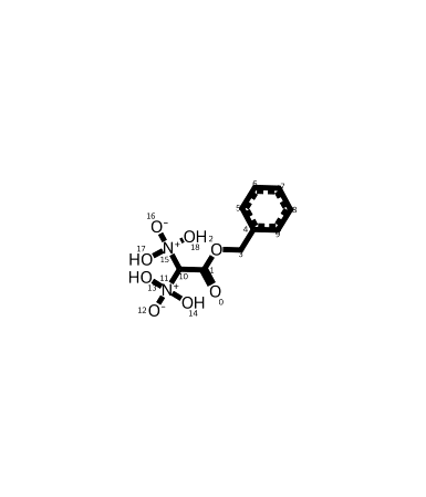 O=C(OCc1ccccc1)C([N+]([O-])(O)O)[N+]([O-])(O)O